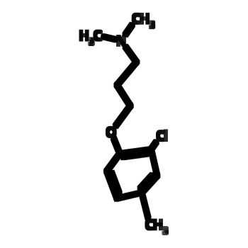 Cc1ccc(OCCCN(C)C)c(Cl)c1